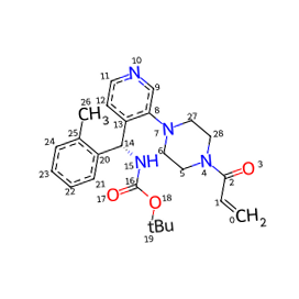 C=CC(=O)N1CCN(c2cnccc2[C@H](NC(=O)OC(C)(C)C)c2ccccc2C)CC1